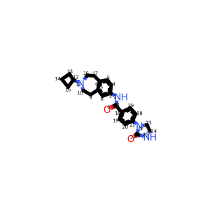 O=C(Nc1ccc2c(c1)CCN(C1CCC1)CC2)c1ccc(N2CCNC2=O)cc1